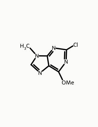 COc1nc(Cl)nc2c1ncn2C